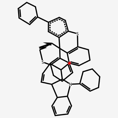 C1=CCCC(c2ccc3c(c2)C2(C4=CCCC=C4SC4=C2C=CCC4)C2=C(CCC=C2C2CC=CC4C5C=CC=CC5N(C5=CCCCC5)C24)S3)=C1